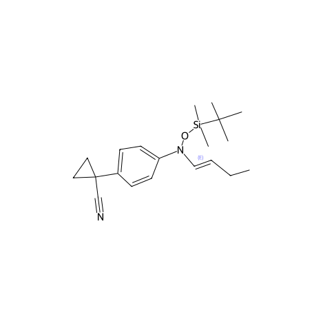 CC/C=C/N(O[Si](C)(C)C(C)(C)C)c1ccc(C2(C#N)CC2)cc1